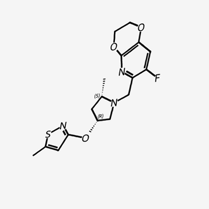 Cc1cc(O[C@@H]2C[C@H](C)N(Cc3nc4c(cc3F)OCCO4)C2)ns1